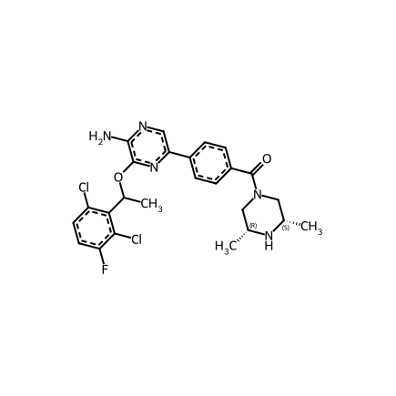 CC(Oc1nc(-c2ccc(C(=O)N3C[C@@H](C)N[C@@H](C)C3)cc2)cnc1N)c1c(Cl)ccc(F)c1Cl